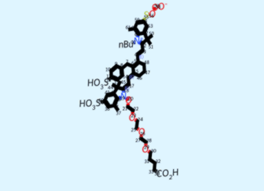 CCCC[N+]1=C(/C=C/C2=C(Cc3ccc(S(=O)(=O)O)cc3)C(=C/C=C3/N(OCCOCCOCCOCCCCC(=O)O)c4c(C)cc(S(=O)(=O)O)cc4C3(C)C)/CCC2)C(C)(C)c2cc(SOO[O-])cc(C)c21